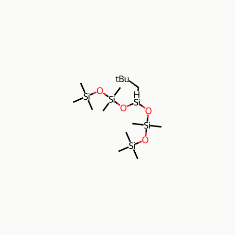 CC(C)(C)C[SiH](O[Si](C)(C)O[Si](C)(C)C)O[Si](C)(C)O[Si](C)(C)C